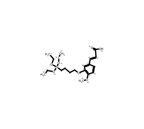 CCO[Si](CCCCOc1cc(/C=C/C(=O)O)ccc1OC)(OCC)OCC